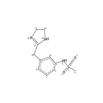 CS(=O)(=O)Nc1cccc(CC2=NCCN2)c1